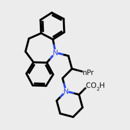 CCCC(CN1c2ccccc2CCc2ccccc21)CN1CCCCC1C(=O)O